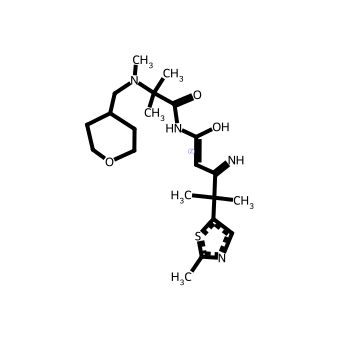 Cc1ncc(C(C)(C)C(=N)/C=C(\O)NC(=O)C(C)(C)N(C)CC2CCOCC2)s1